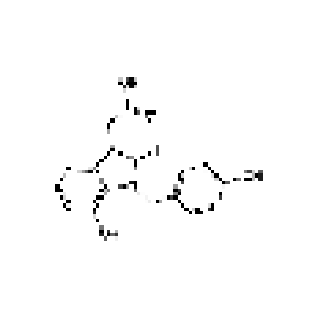 O=C(O)CC1c2cccc(O)c2N(Cc2ccc(O)cc2)C1I